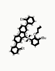 C=CCOc1c(C(C)(C)C)cccc1[Si](C)(C)C1c2cc(-c3ccccc3CC)ccc2-c2ccc(-c3ccccc3CC)cc21